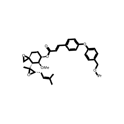 CO[C@H]1[C@H](C2(C)O[C@H]2CC=C(C)C)[C@]2(CC[C@H]1OC(=O)/C=C/c1ccc(Oc3ccc(COC(C)C)cc3)cc1)CO2